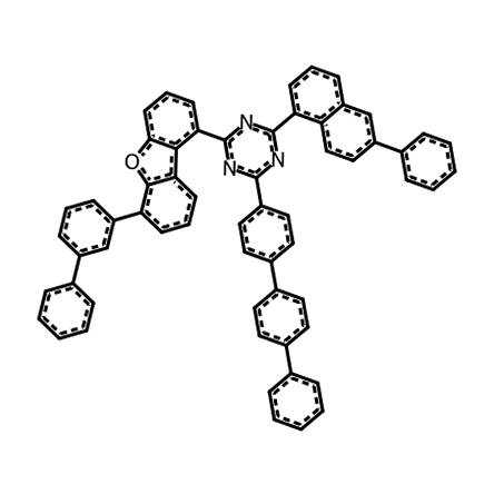 c1ccc(-c2ccc(-c3ccc(-c4nc(-c5cccc6cc(-c7ccccc7)ccc56)nc(-c5cccc6oc7c(-c8cccc(-c9ccccc9)c8)cccc7c56)n4)cc3)cc2)cc1